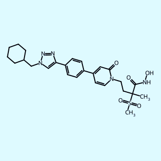 CC(CCn1ccc(-c2ccc(-c3cn(CC4CCCCC4)nn3)cc2)cc1=O)(C(=O)NO)S(C)(=O)=O